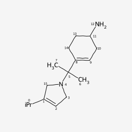 CC(C)C1=CCN(C(C)(C)C2=CCC(N)CC2)C1